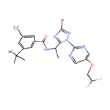 CC(NC(=O)c1cc(C(F)(F)F)cc(C(C)(C)C#N)c1)c1nc(Br)nn1-c1ncc(OCC(F)F)cn1